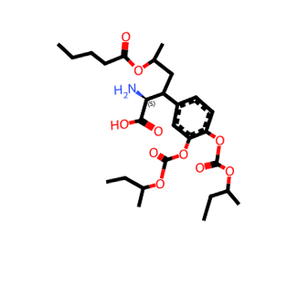 CCCCC(=O)OC(C)CC(c1ccc(OC(=O)OC(C)CC)c(OC(=O)OC(C)CC)c1)[C@H](N)C(=O)O